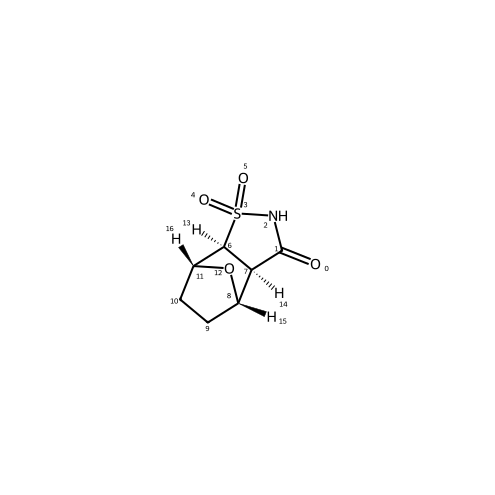 O=C1NS(=O)(=O)[C@H]2[C@@H]1[C@@H]1CC[C@H]2O1